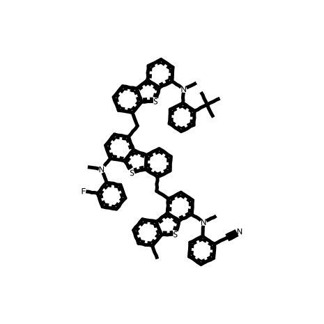 Cc1cccc2c1sc1c(N(C)c3ccccc3C#N)ccc(Cc3cccc4c3sc3c(N(C)c5ccccc5F)ccc(Cc5cccc6c5sc5c(N(C)c7ccccc7C(C)(C)C)cccc56)c34)c12